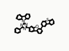 c1ccc(-c2nc(-c3ccc4c(c3)oc3c(-c5ccc6sc7ccccc7c6c5)cccc34)nc(-n3c4ccccc4c4ccccc43)n2)cc1